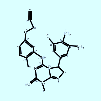 Bc1cc(C2CN=C3N(C)C(=O)N=C(Nc4cc(OCC#C)ccc4C)N32)cc(F)c1P